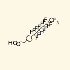 OOCCc1ccc(C(F)(F)C(F)(F)C(F)(F)C(F)(F)C(F)(F)C(F)(F)C(F)(F)C(F)(F)F)cc1